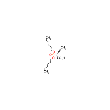 C=CCCCCOP(=O)(OCCCCC=C)C(C#CC)C(=O)O